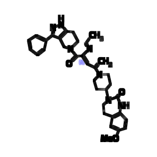 C=C(/C=C(\N=CC)C(=O)N1CCc2[nH]nc(-c3ccccc3)c2C1)N1CCC(N2CCc3cc(OC)ccc3NC2=O)CC1